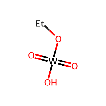 CC[O][W](=[O])(=[O])[OH]